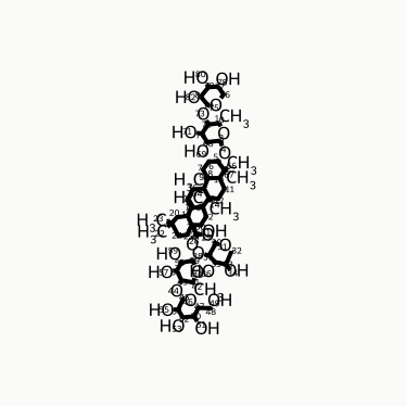 CC1OC(OC2CCC3(C)C(CCC4(C)C3CC=C3C5CC(C)(C)CCC5(C(=O)OC5OCC(O)C(O)C5OC5OC(C)C(OC6OC(CO)C(O)C(O)C6O)C(O)C5O)C(O)CC34C)C2(C)C)C(O)C(O)C1OC1OCC(O)C(O)C1O